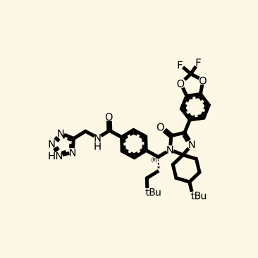 CC(C)(C)CC[C@H](c1ccc(C(=O)NCc2nn[nH]n2)cc1)N1C(=O)C(c2ccc3c(c2)OC(F)(F)O3)=NC12CCC(C(C)(C)C)CC2